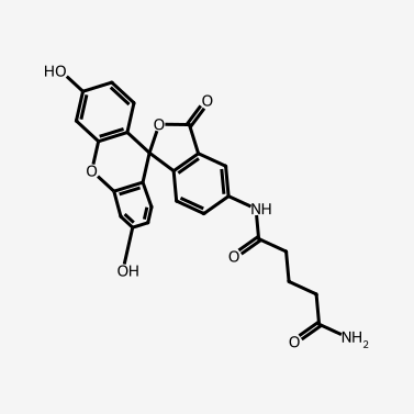 NC(=O)CCCC(=O)Nc1ccc2c(c1)C(=O)OC21c2ccc(O)cc2Oc2cc(O)ccc21